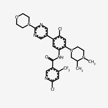 CC1CN(c2cc(Cl)c(-c3cnc(N4CCOCC4)nc3)cc2NC(=O)c2cnc(Cl)cc2C(F)(F)F)CCN1C